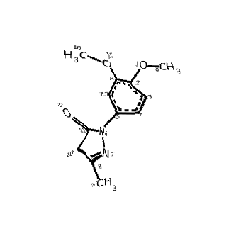 COc1ccc(N2N=C(C)CC2=O)cc1OC